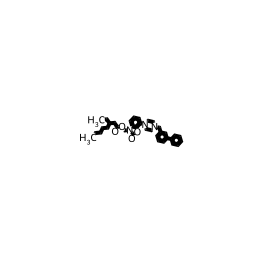 CCCCCC(CC)CC(=O)OCn1c(=O)oc2c(N3CCN(Cc4cccc(-c5ccccc5)c4)CC3)cccc21